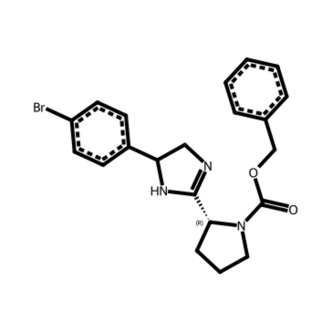 O=C(OCc1ccccc1)N1CCC[C@@H]1C1=NCC(c2ccc(Br)cc2)N1